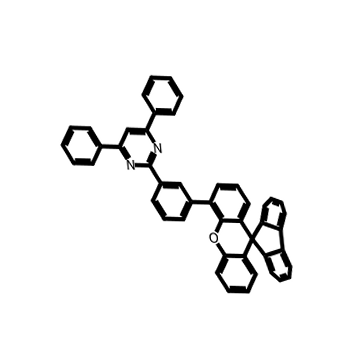 c1ccc(-c2cc(-c3ccccc3)nc(-c3cccc(-c4cccc5c4Oc4ccccc4C54c5ccccc5-c5ccccc54)c3)n2)cc1